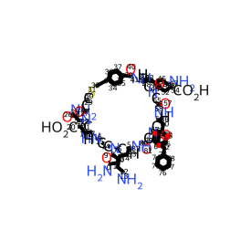 NCCCC[C@H]1CN(C(=O)CCCN)CCN[C@@H](CCC(=O)O)CN(CC(N)=O)C(=O)CCSCc2ccc(cc2)C(=O)N[C@@H](CCCCN)CN(C(=O)CCC(=O)O)CC(=O)N[C@@H](Cc2ccccc2)CN(C(=O)CCc2ccccc2)CC(=O)N1